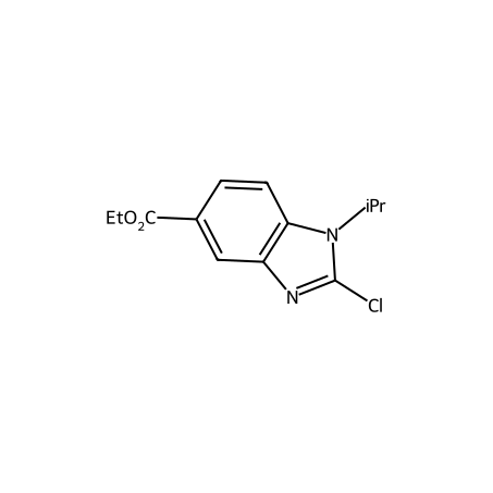 CCOC(=O)c1ccc2c(c1)nc(Cl)n2C(C)C